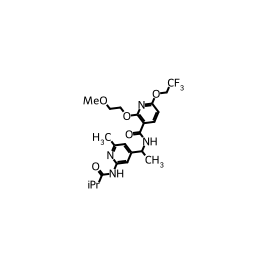 COCCOc1nc(OCC(F)(F)F)ccc1C(=O)NC(C)c1cc(C)nc(NC(=O)C(C)C)c1